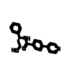 O=C(N[C@H](CCO)c1ccccc1)c1ccc(-c2ccncc2)cc1